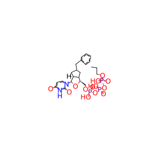 CCCOP(=O)(O)OP(=O)(O)OP(=O)(O)OC[C@H]1O[C@@H](n2ccc(=O)[nH]c2=O)[C@H]2CC(Cc3ccccc3)CC12